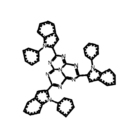 c1ccc(-n2c(C3=NC4=NC(c5cc6ccccc6n5-c5ccccc5)=NC5=NC(c6cc7ccccc7n6-c6ccccc6)=NC(=N3)N45)cc3ccccc32)cc1